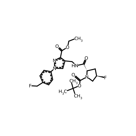 CCOC(=O)c1nn(-c2ccc(CF)cc2)cc1CNC(=O)[C@@H]1C[C@@H](F)CN1C(=O)OC(C)(C)C